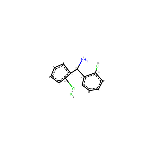 Cl.NC(c1ccccc1Cl)c1ccccc1Cl